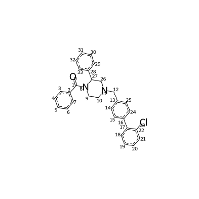 O=C(c1ccccc1)N1CCN(Cc2ccc(-c3ccccc3Cl)cc2)CC1c1ccccc1